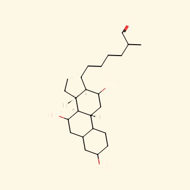 CC([C]=O)CCC[C@@H](C)[C@H]1CC[C@H]2[C@@H]3C(O)CC4CC(O)CC[C@]4(C)[C@H]3CC(O)[C@]12C